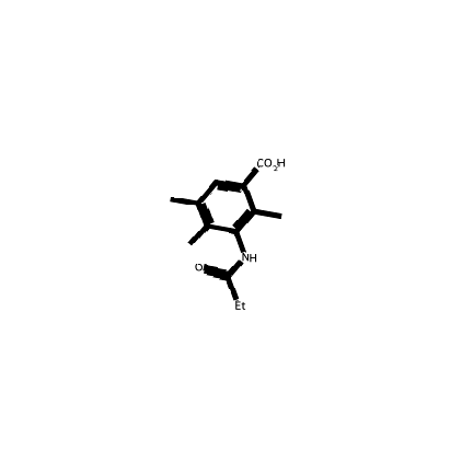 CCC(=O)Nc1c(C)c(C)cc(C(=O)O)c1C